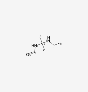 CCNC(C)(C)NC=O